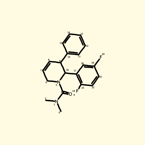 CN(C)C(=O)N1CC=CC(c2ccccc2)C1c1cc(F)ccc1F